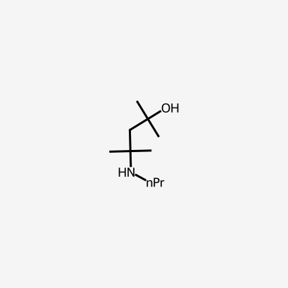 CCCNC(C)(C)CC(C)(C)O